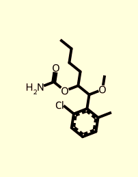 CCCCC(OC(N)=O)C(OC)c1c(C)cccc1Cl